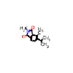 Cc1c(C(C)C)ccc2c1C(=O)N(C)C2=O